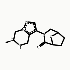 C[C@H]1Cn2ncc(N3CC4CCC(O4)C3=O)c2CN1